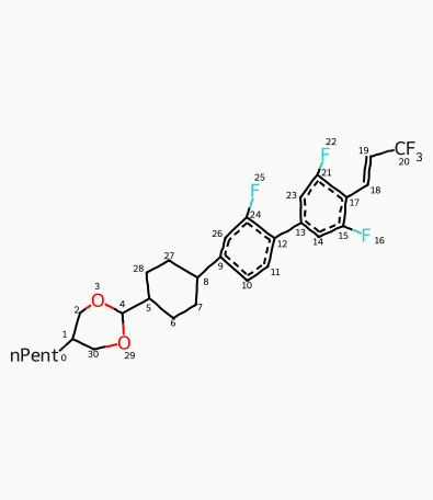 CCCCCC1COC(C2CCC(c3ccc(-c4cc(F)c(/C=C/C(F)(F)F)c(F)c4)c(F)c3)CC2)OC1